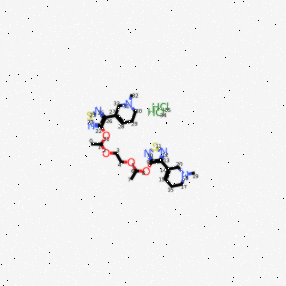 CC(OCCOC(C)Oc1nsnc1C1=CCCN(C)C1)Oc1nsnc1C1=CCCN(C)C1.Cl.Cl